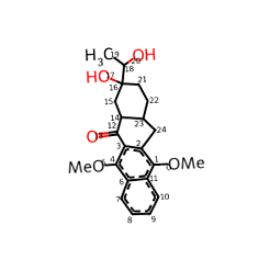 COc1c2c(c(OC)c3ccccc13)C(=O)C1CC(O)(C(C)O)CCC1C2